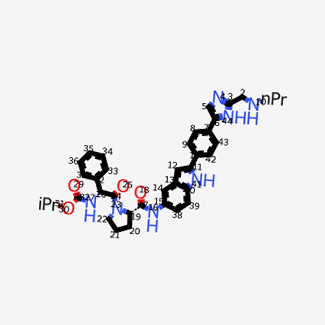 CCCNCc1ncc(-c2ccc(-c3cc4cc(NC(=O)[C@@H]5CCCN5C(=O)[C@H](NC(=O)OC(C)C)c5ccccc5)ccc4[nH]3)cc2)[nH]1